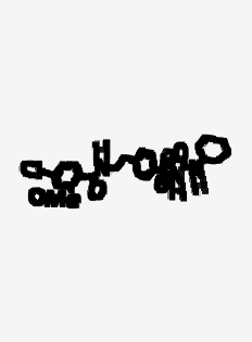 COc1cc(Cl)ccc1C(=O)NCCc1ccc(S(=O)(=O)NC(=O)NC2CCCCC2)cc1